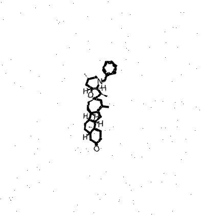 CC1=C2C[C@H]3[C@@H](CC[C@H]4CC(=O)CC[C@@]43C)[C@@H]2CC[C@@]2(C1)O[C@@H]1C[C@H](C)CN(Cc3ccccc3)[C@H]1[C@H]2C